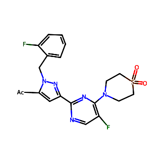 CC(=O)c1cc(-c2ncc(F)c(N3CCS(=O)(=O)CC3)n2)nn1Cc1ccccc1F